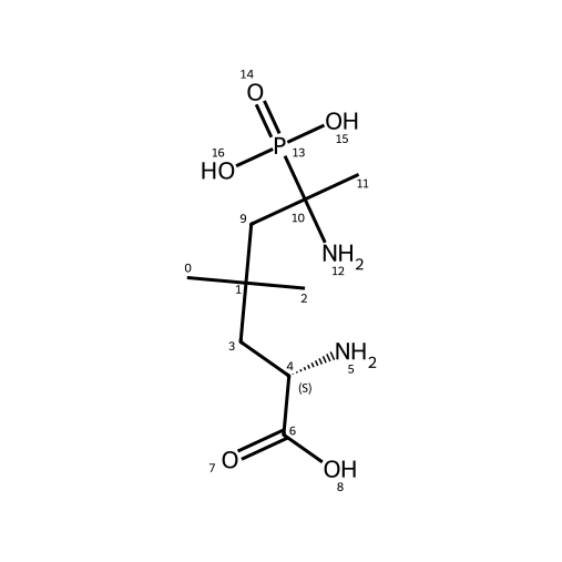 CC(C)(C[C@H](N)C(=O)O)CC(C)(N)P(=O)(O)O